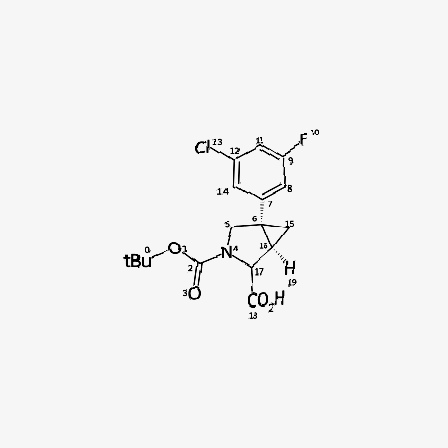 CC(C)(C)OC(=O)N1C[C@@]2(c3cc(F)cc(Cl)c3)C[C@H]2C1C(=O)O